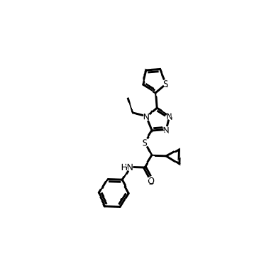 CCn1c(SC(C(=O)Nc2ccccc2)C2CC2)nnc1-c1cccs1